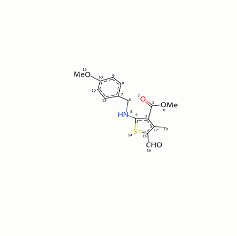 COC(=O)c1c(NCc2ccc(OC)cc2)sc(C=O)c1C